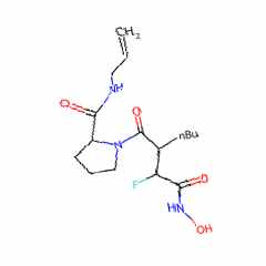 C=CCNC(=O)C1CCCN1C(=O)C(CCCC)C(F)C(=O)NO